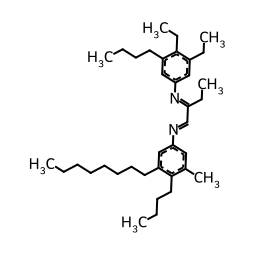 CCCCCCCCc1cc(N=CC(CC)=Nc2cc(CC)c(CC)c(CCCC)c2)cc(C)c1CCCC